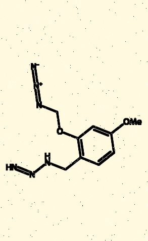 COc1ccc(CNN=N)c(OCN=[N+]=[N-])c1